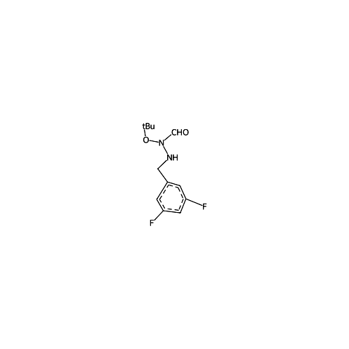 CC(C)(C)ON(C=O)NCc1cc(F)cc(F)c1